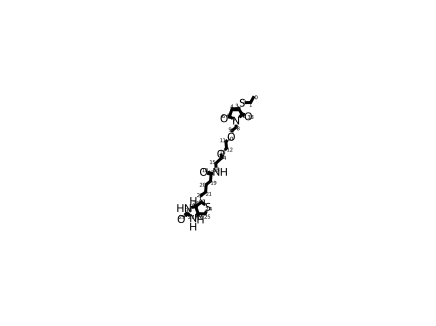 CCSC1=CC(=O)N(CCOCCOCCNC(=O)CCCC[C@@H]2SC[C@@H]3NC(=O)N[C@@H]32)C1=O